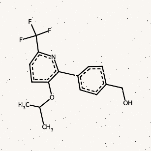 CC(C)Oc1ccc(C(F)(F)F)nc1-c1ccc(CO)cc1